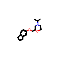 CC(C)N1CCOC(COc2ccc3c(c2)C=CC3)C1